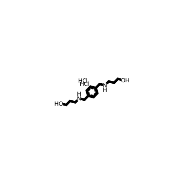 Cl.Cl.OCCCNCc1ccc(CNCCCO)cc1